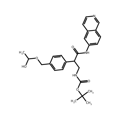 CC(O)OCc1ccc(C(CNC(=O)OC(C)(C)C)C(=O)Nc2ccc3cnccc3c2)cc1